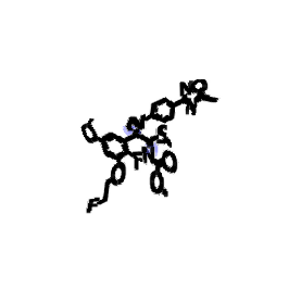 COC(=O)/N=C(SC)/C(=N\c1ccc(-c2noc(C)n2)cc1)c1cc(OC)cc(OCCF)c1F